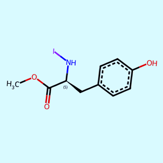 COC(=O)[C@H](Cc1ccc(O)cc1)NI